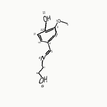 COc1cc(C=NCCO)ccc1O